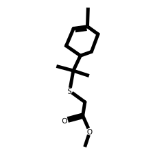 COC(=O)CSC(C)(C)C1CC=C(C)CC1